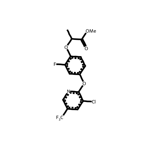 COC(=O)C(C)Oc1ccc(Oc2ncc(C(F)(F)F)cc2Cl)cc1F